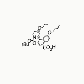 C=CCCOc1ccc2c(C(=O)O)ccc([C@@H]3C[C@@H](OCC=C)CCN3C(=O)OC(C)(C)C)c2c1